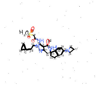 CS(=O)(=O)CC(=O)Nc1c2c(nn1CCC1CC1)C[C@]1(CCc3cc(N4CCC4)ccc31)NC2=O